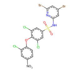 O=[N+]([O-])c1ccc(Oc2c(Cl)cc(S(=O)(=O)Nc3cc(Br)cc(Br)n3)cc2Cl)c(Cl)c1